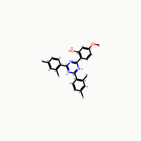 COc1ccc(-c2nc(-c3ccc(C)cc3C)nc(-c3ccc(C)cc3C)n2)c(O)c1